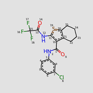 O=C(Nc1cccc(Cl)c1)c1c(NC(=O)C(F)(F)F)sc2c1CCCC2